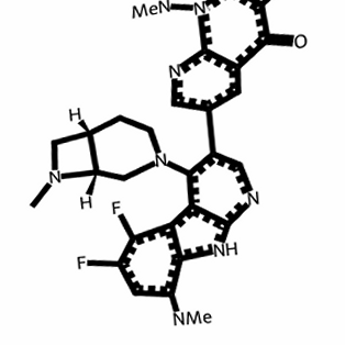 CNc1cc(F)c(F)c2c1[nH]c1ncc(-c3cnc4c(c3)c(=O)c(C(=O)O)cn4NC)c(N3CC[C@H]4CN(C)[C@H]4C3)c12